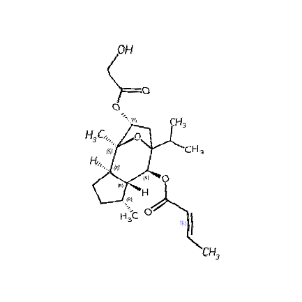 C/C=C/C(=O)O[C@H]1[C@@H]2[C@H](C)CC[C@H]2[C@]2(C)OC1(C(C)C)C[C@H]2OC(=O)CO